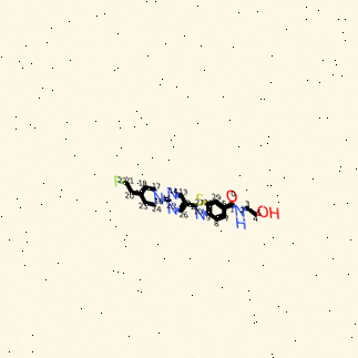 O=C(NCCO)c1ccc2nc(-c3cnc(N4CCC(CCF)CC4)nc3)sc2c1